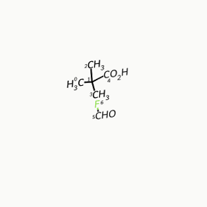 CC(C)(C)C(=O)O.O=CF